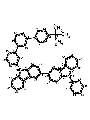 CC(C)(C)c1ccc(-c2cccc(-c3cccc(-n4c5ccccc5c5cc(-c6ccc7c(c6)c6ccccc6n7-c6ccccc6)ccc54)c3)c2)cc1